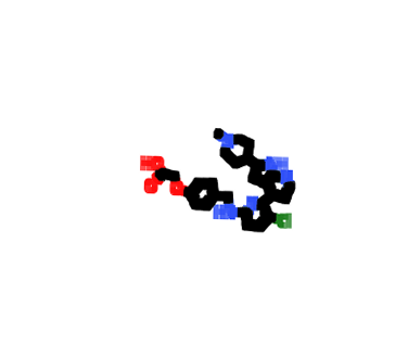 CN1CCC(c2cc3c(-c4nc(NCc5ccc(OCC(=O)O)cc5)ccc4Cl)ccnc3[nH]2)CC1